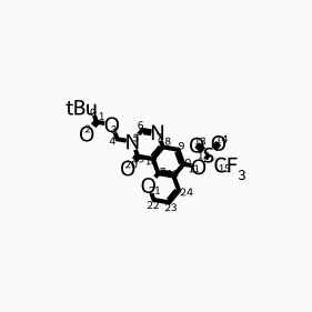 CC(C)(C)C(=O)OCn1cnc2cc(OS(=O)(=O)C(F)(F)F)c3c(c2c1=O)OCC=C3